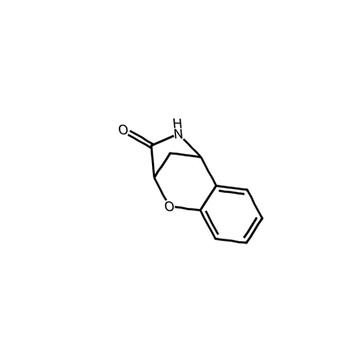 O=C1NC2CC1Oc1ccccc12